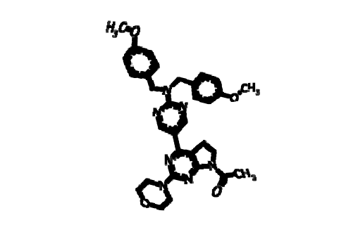 COc1ccc(CN(Cc2ccc(OC)cc2)c2ncc(-c3nc(N4CCOCC4)nc4c3CCN4C(C)=O)cn2)cc1